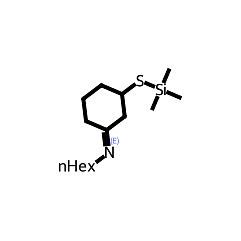 CCCCCC/N=C1\CCCC(S[Si](C)(C)C)C1